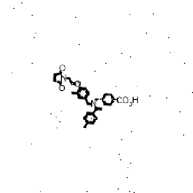 Cc1ccc(C(C)N(Cc2ccc(OCCN3C(=O)CCC3=O)c(C)c2)C[C@H]2CC[C@H](C(=O)O)CC2)cc1